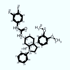 COc1ccc([C@@]23CC[C@@H](NC(=O)Nc4ccc(F)c(F)c4)C[C@@H]2N(c2ccccc2)CC3)cc1OC